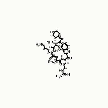 CC(=O)N[C@@H](CO)C(=O)N[C@@H](CCCCN)C(=O)N[C@@H](CC(C)C)C(=O)N[C@@H](CCCNC(=N)N)C(=O)c1nc2ccc(C(=O)NC3CCNCC3)cc2s1